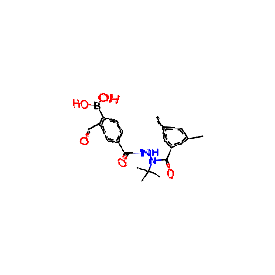 Cc1cc(C)cc(C(=O)N(NC(=O)c2ccc(B(O)O)c(C=O)c2)C(C)(C)C)c1